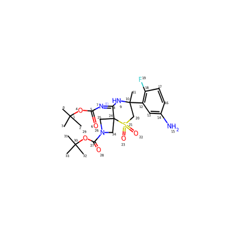 CC(C)(C)OC(=O)/N=C1/NC(C)(c2cc(N)ccc2F)CS(=O)(=O)C12CN(C(=O)OC(C)(C)C)C2